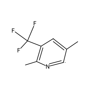 Cc1[c]nc(C)c(C(F)(F)F)c1